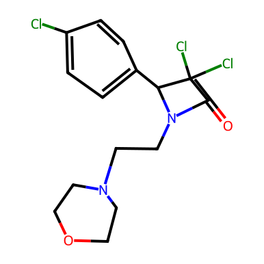 O=C1N(CCN2CCOCC2)C(c2ccc(Cl)cc2)C1(Cl)Cl